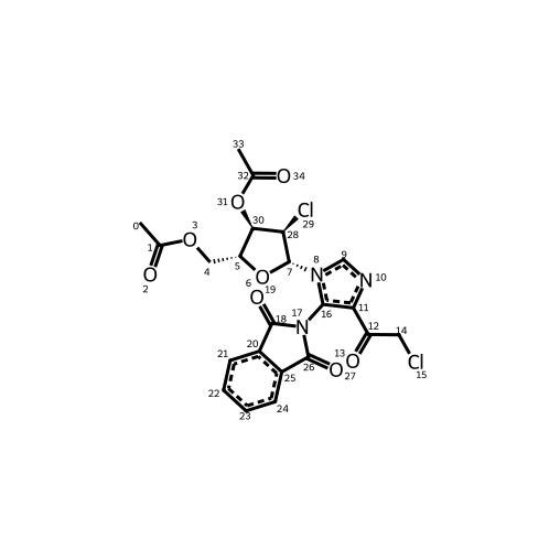 CC(=O)OC[C@H]1O[C@@H](n2cnc(C(=O)CCl)c2N2C(=O)c3ccccc3C2=O)[C@H](Cl)[C@@H]1OC(C)=O